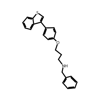 c1ccc(CNCCCOc2ccc(-c3csc4ccccc34)cc2)cc1